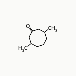 CC1CCCC(C)CC(=O)C1